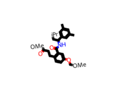 COCOc1ccc(CCC(=O)OC)c(C(=O)NC(CC(C)C)c2cc(C)cc(C)c2)c1